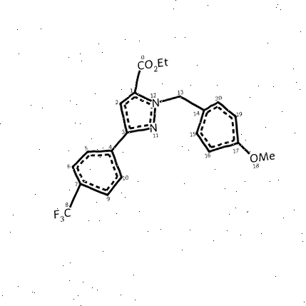 CCOC(=O)c1cc(-c2ccc(C(F)(F)F)cc2)nn1Cc1ccc(OC)cc1